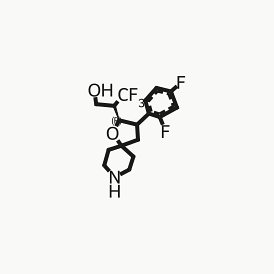 OCC([C@@H]1OC2(CCNCC2)CC1c1ccc(F)cc1F)C(F)(F)F